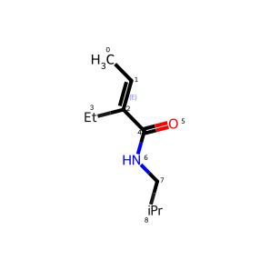 C/C=C(\CC)C(=O)NCC(C)C